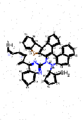 B/C=C\C=C/C(=C)c1nc(N2c3c(c4ccccc4c4c3sc3ccccc34)-c3c(ccc4ccccc34)N2c2ccccc2B)nc2ccccc12